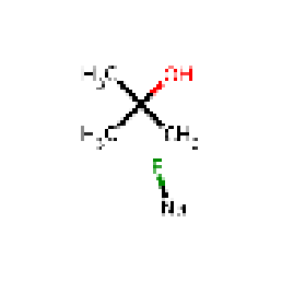 CC(C)(C)O.[F][Na]